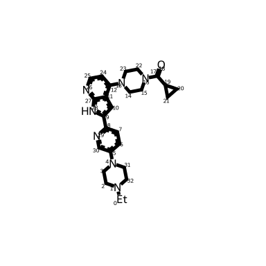 CCN1CCN(c2ccc(-c3cc4c(N5CCN(C(=O)C6CC6)CC5)ccnc4[nH]3)nc2)CC1